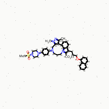 CCOC(=O)c1c(CCCOc2cccc3ccccc23)c2cccc3c2n1CCCN(c1ccc(N2CCN(S(=O)(=O)NC)CC2)cc1)Cc1c-3c(C)nn1C